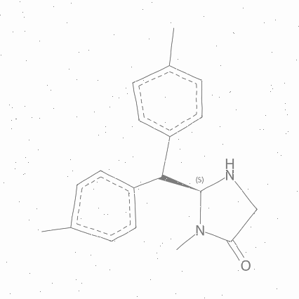 Cc1ccc(C(c2ccc(C)cc2)[C@H]2NCC(=O)N2C)cc1